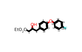 CCOC(=O)CC(O)Cc1ccc(Oc2ccc(F)cc2)cc1